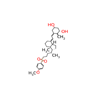 C=C1/C(=C\C=C2/CCC[C@]3(C)[C@@H]([C@H](C)CCCS(=O)(=O)c4ccc(OC)cc4)CC[C@@H]23)C[C@@H](O)C[C@@H]1O